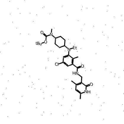 CCN(c1cc(Cl)cc(C(=O)NCc2c(C)cc(C)[nH]c2=O)c1C)C1CCC(N(C)C(=O)OC(C)(C)C)CC1